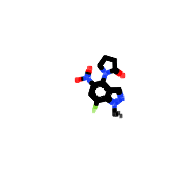 Cn1ncc2c(N3CCCC3=O)c([N+](=O)[O-])cc(F)c21